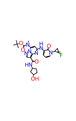 CN(C(=O)OC(C)(C)C)c1cc(Nc2cccn(C3C[C@H]3F)c2=O)nc2c(C(=O)NC3CCC(O)C3)cnn12